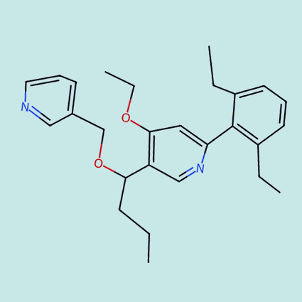 CCCC(OCc1cccnc1)c1cnc(-c2c(CC)cccc2CC)cc1OCC